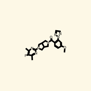 COc1ccc(C(=O)N2CC3CN(c4nc(C)c(F)c(C)n4)CC3C2)c(-n2nccn2)c1